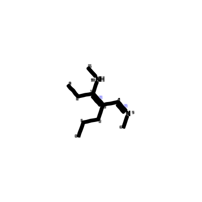 CCCC(/C=N\C)=C(\CC)NC